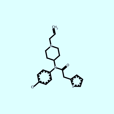 C=CCN1CCC(N(C(=O)Cc2cccs2)c2ccc(Cl)cc2)CC1